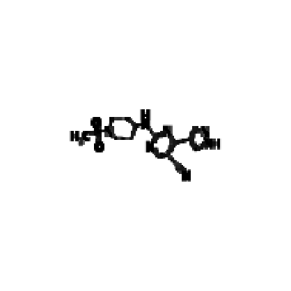 CS(=O)(=O)N1CCC(Nc2ncc(C#N)c(-c3cn[nH]c3)n2)CC1